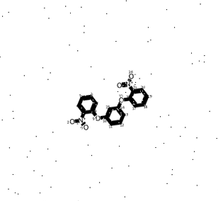 O=[N+]([O-])c1ccccc1Oc1cccc(Oc2ccccc2[N+](=O)[O-])c1